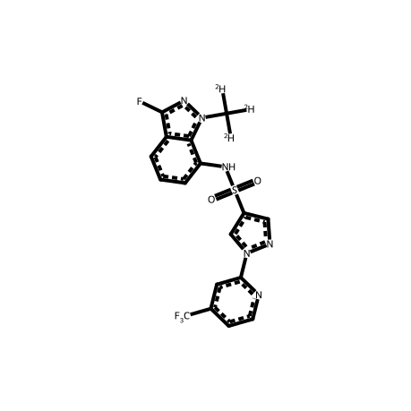 [2H]C([2H])([2H])n1nc(F)c2cccc(NS(=O)(=O)c3cnn(-c4cc(C(F)(F)F)ccn4)c3)c21